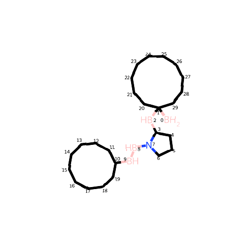 BC1(BC2CCCN2BBC2CCCCCCCCC2)CCCCCCCCCC1